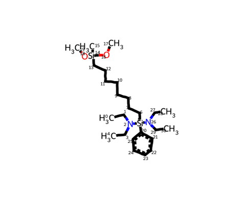 CCN(CC)[Si](CCCCCCCC[Si](C)(OC)OC)(c1ccccc1)N(CC)CC